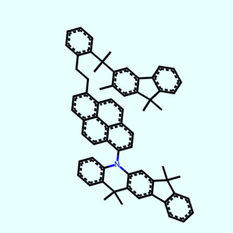 Cc1cc2c(cc1C(C)(C)c1ccccc1CCc1ccc3ccc4c(N5c6ccccc6C(C)(C)c6cc7c(cc65)C(C)(C)c5ccccc5-7)ccc5ccc1c3c54)-c1ccccc1C2(C)C